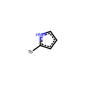 [Tb][c]1ccc[nH]1